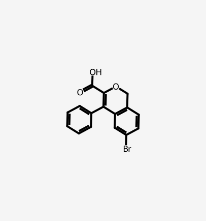 O=C(O)C1=C(c2ccccc2)c2cc(Br)ccc2CO1